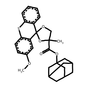 COc1ccc2c(c1)C1(OCC(C)(C(=O)OC34CC5CC(CC(C5)C3)C4)O1)c1ccccc1S2